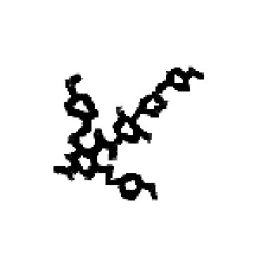 COc1ccc(COc2nc(SC)nc(OCc3ccc(OC)cc3)c2C(=O)Nc2cc(F)c(-c3cn(Cc4ccc(OC)cc4)nn3)c(F)c2)cc1